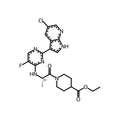 CCOC(=O)C1CCN(C(=O)[C@H](C)Nc2nc(-c3c[nH]c4ncc(Cl)cc34)ncc2F)CC1